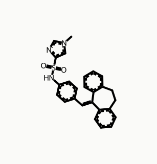 Cn1cnc(S(=O)(=O)Nc2ccc(C=C3c4ccccc4CCc4ccccc43)cc2)c1